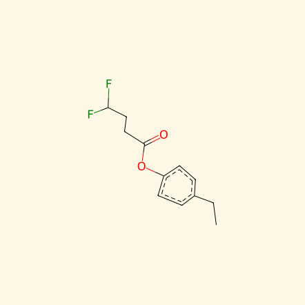 CCc1ccc(OC(=O)CCC(F)F)cc1